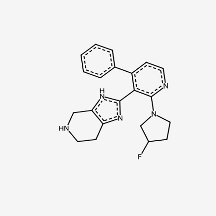 FC1CCN(c2nccc(-c3ccccc3)c2-c2nc3c([nH]2)CNCC3)C1